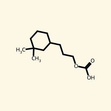 CC1(C)CCCC(CCCOC(=O)O)C1